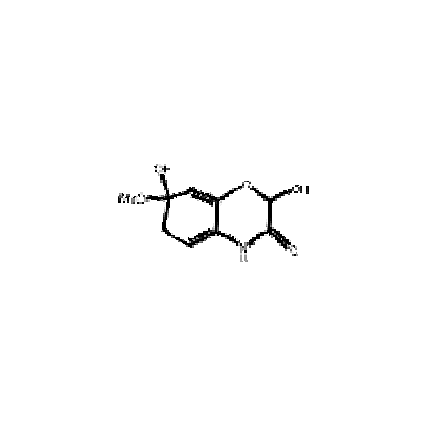 COC1(O)C=C2OC(O)C(=O)NC2=CC1